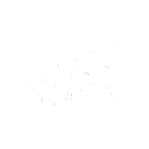 C=CCN(C(=O)c1c(O)c2c(C=S)c(C)ccc2[nH]c1=O)c1ccccc1